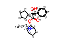 CCCCCN1C2CCC1C(OC(=O)[C@](O)(c1ccccc1)C1CCCC1)C2